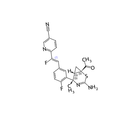 CC(=O)[C@]12C[C@H]1[C@@](C)(c1cc(/C=C(\F)c3ccc(C#N)cn3)ccc1F)N=C(N)S2